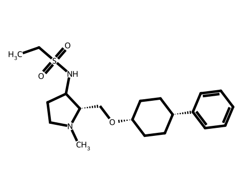 CCS(=O)(=O)NC1CCN(C)[C@H]1CO[C@H]1CC[C@@H](c2ccccc2)CC1